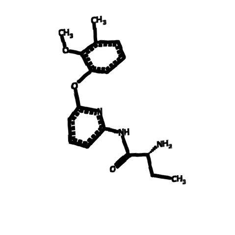 CC[C@@H](N)C(=O)Nc1cccc(Oc2cccc(C)c2OC)n1